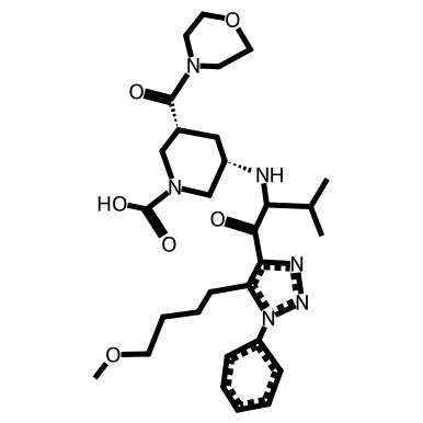 COCCCCc1c(C(=O)C(N[C@H]2C[C@@H](C(=O)N3CCOCC3)CN(C(=O)O)C2)C(C)C)nnn1-c1ccccc1